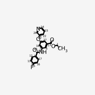 CCOC(=O)c1cc(NC(=O)c2ccc(F)cc2)cc(Oc2cccnc2)c1